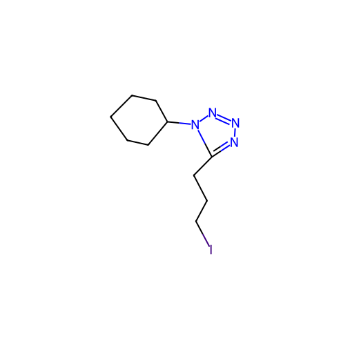 ICCCc1nnnn1C1CCCCC1